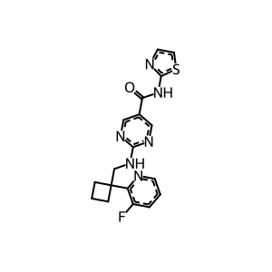 O=C(Nc1nccs1)c1cnc(NCC2(c3ncccc3F)CCC2)nc1